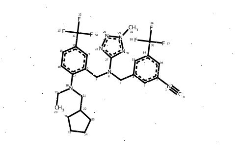 [C-]#[N+]c1cc(CN(Cc2cc(C(F)(F)F)ccc2N(CC)CC2CCCC2)c2nnn(C)n2)cc(C(F)(F)F)c1